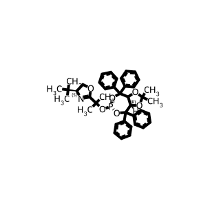 CC1(C)OC2[C@@H](O1)C(c1ccccc1)(c1ccccc1)OP(OC(C)(C)C1=N[C@@H](C(C)(C)C)CO1)OC2(c1ccccc1)c1ccccc1